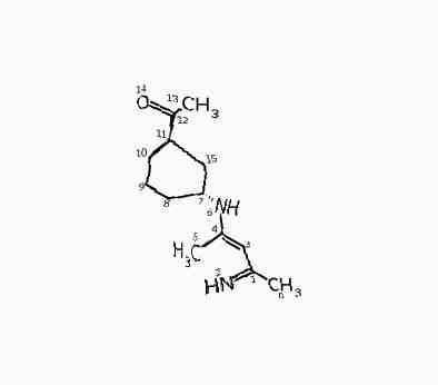 CC(=N)/C=C(\C)N[C@@H]1CCC[C@@H](C(C)=O)C1